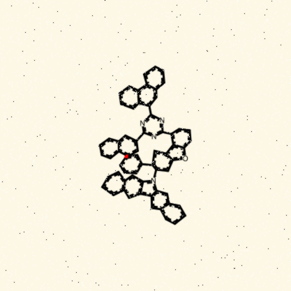 c1ccc(-c2cc3c(cc2-n2c4cc5ccccc5cc4c4cc5ccccc5cc42)oc2cccc(-c4nc(-c5ccc6ccccc6c5)nc(-c5cc6ccccc6c6ccccc56)n4)c23)cc1